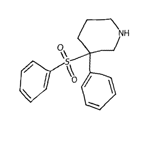 O=S(=O)(c1ccccc1)C1(c2ccccc2)CCCNC1